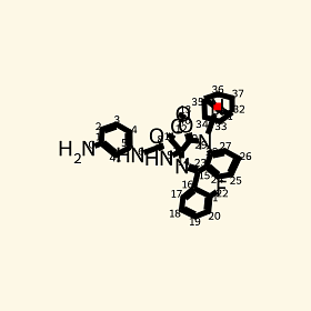 Nc1cccc(NC(=O)NC2(C=C=O)N=C(c3ccccc3F)c3ccccc3N(N3CC4CCC(CC4)C3)C2=O)c1